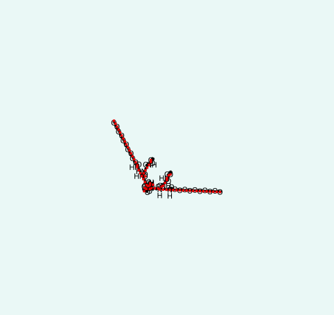 COCCOCCOCCOCCOCCOCCOCCOCCOCCOCC(=O)NCCCC[C@H](NC(=O)CCCNC(=O)[C@H]([C@@H](C(=O)NCCCC(=O)N[C@@H](CCCCNC(=O)COCCOCCOCCOCCOCCOCCOCCOCCOCCOC)C(=O)NCCCC(=O)NCC(=O)OC(C)(C)C)N1C(=O)C=CC1=O)N1C(=O)C=CC1=O)C(=O)NCCCC(=O)NCC(=O)OC(C)(C)C